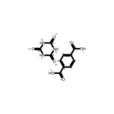 O=C(O)c1ccc(C(=O)O)cc1.O=c1[nH]c(=O)[nH]c(=O)[nH]1